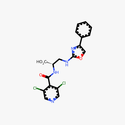 O=C(N[C@@H](CNc1nc(-c2ccccc2)co1)C(=O)O)c1c(Cl)cncc1Cl